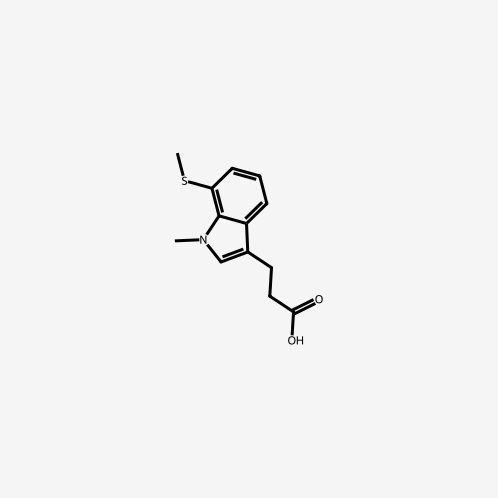 CSc1cccc2c(CCC(=O)O)cn(C)c12